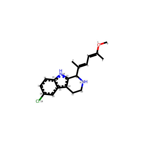 CO/C(C)=C/C=C(\C)C1NCCc2c1[nH]c1ccc(Cl)cc21